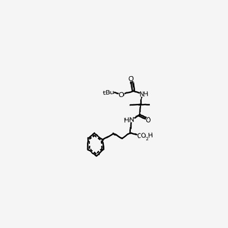 CC(C)(C)OC(=O)NC(C)(C)C(=O)NC(CCc1ccccc1)C(=O)O